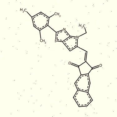 CCn1c(C=C2C(=O)c3cc4ccccc4cc3C2=O)cc2sc(-c3c(C)cc(C)cc3C)nc21